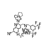 CCN(CC1CCCC1)c1nc2cc(C#N)ccc2cc1CN(Cc1cc(C(F)(F)F)cc(C(F)(F)F)c1)c1nnn(C)n1